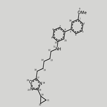 COc1cccc(-c2cccc(NCCCCCc3nc(C4CC4)no3)c2)c1